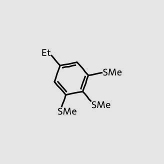 [CH2]Cc1cc(SC)c(SC)c(SC)c1